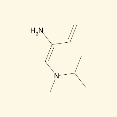 C=C/C(N)=C\N(C)C(C)C